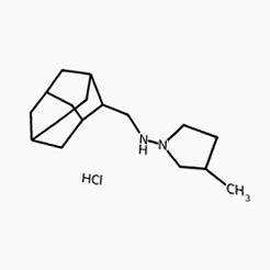 CC1CCN(NCC2C3CC4CC(C3)CC2C4)C1.Cl